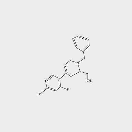 CCC1CC(c2ccc(F)cc2F)=CCN1Cc1ccccc1